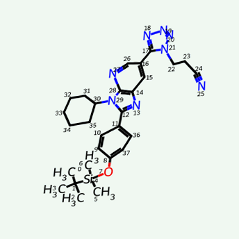 CC(C)(C)[Si](C)(C)Oc1ccc(-c2nc3cc(-c4nnnn4CCC#N)cnc3n2C2CCCCC2)cc1